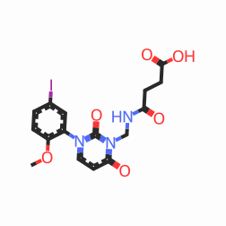 COc1ccc(I)cc1-n1ccc(=O)n(CNC(=O)CCC(=O)O)c1=O